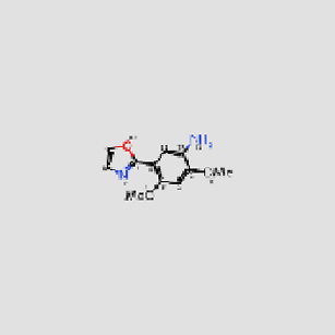 COc1cc(OC)c(-c2ncco2)cc1N